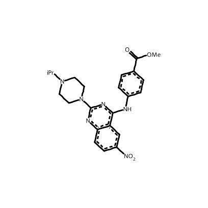 COC(=O)c1ccc(Nc2nc(N3CCN(C(C)C)CC3)nc3ccc([N+](=O)[O-])cc23)cc1